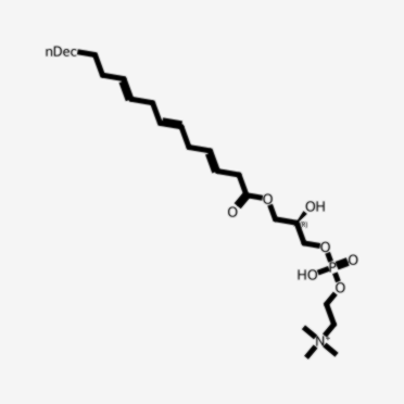 CCCCCCCCCCCCC=CCC=CCC=CCC(=O)OC[C@@H](O)COP(=O)(O)OCC[N+](C)(C)C